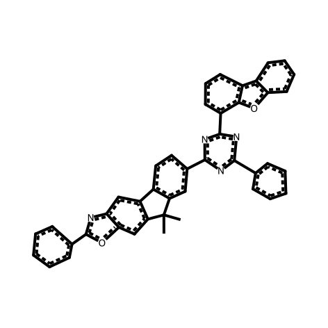 CC1(C)c2cc(-c3nc(-c4ccccc4)nc(-c4cccc5c4oc4ccccc45)n3)ccc2-c2cc3nc(-c4ccccc4)oc3cc21